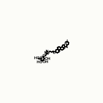 C[C@H]1CCC2[C@@H](C)C3C(CC4C5CC=C6C[C@@H](OCCCn7cc(CO[C@@H]8OC(CO)[C@@H](O)[C@H](O)C8O)nn7)CC[C@]6(C)C5CC[C@@]43C)N2C1